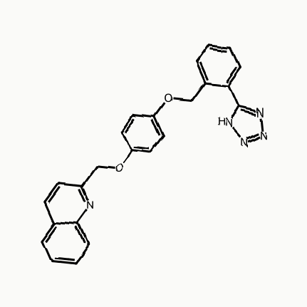 c1ccc(-c2nnn[nH]2)c(COc2ccc(OCc3ccc4ccccc4n3)cc2)c1